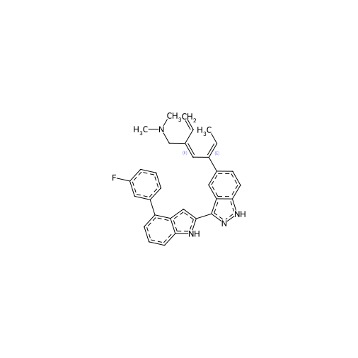 C=C/C(=C\C(=C/C)c1ccc2[nH]nc(-c3cc4c(-c5cccc(F)c5)cccc4[nH]3)c2c1)CN(C)C